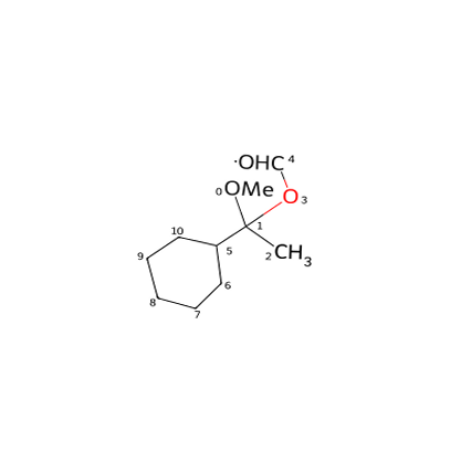 COC(C)(O[C]=O)C1CCCCC1